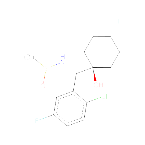 CC(C)(C)[S+]([O-])N[C@@H](c1cc(F)ccc1Cl)[C@]1(O)CC[C@H](F)CC1